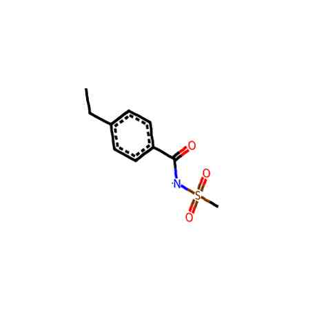 CCc1ccc(C(=O)[N]S(C)(=O)=O)cc1